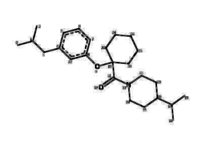 CC(C)Cc1cccc(OC2(C(=O)N3CCC(C(C)C)CC3)CCCCC2)c1